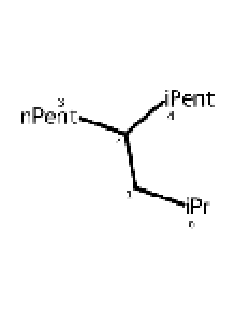 [CH2]C(C)CC(CCCCC)C(C)CCC